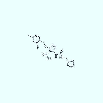 Cc1ccc(COc2nsc(NC(=O)NCc3ccco3)c2C(N)=O)c(F)c1